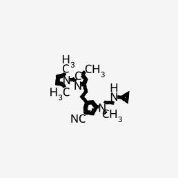 Cc1cc(CCc2cc(C#N)cc(N(C)CCNC3CC3)c2)nc(-n2c(C)ccc2C)c1